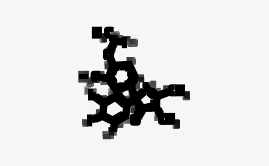 CC1=NC(C2=CC(F)C(F)C(F)=C2)(c2ccc(OC(C)F)c(C)c2)C(=O)N1C